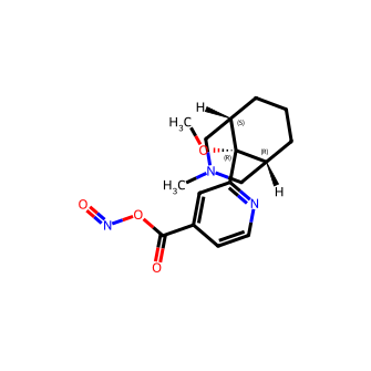 CO[C@@]1(c2cc(C(=O)ON=O)ccn2)[C@@H]2CCC[C@H]1CN(C)C2